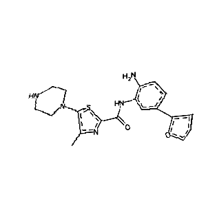 Cc1nc(C(=O)Nc2cc(-c3ccco3)ccc2N)sc1N1CCNCC1